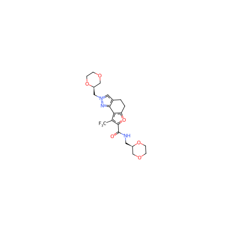 O=C(NC[C@@H]1COCCO1)c1oc2c(c1C(F)(F)F)-c1nn(C[C@@H]3COCCO3)cc1CC2